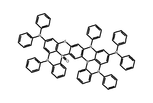 O=P12c3cc4c(cc3Sc3cc(N(c5ccccc5)c5ccccc5)cc(c31)N(c1ccccc1)c1ccccc12)N(c1ccccc1)c1cc(N(c2ccccc2)c2ccccc2)cc2c1B4c1ccccc1N2c1ccccc1